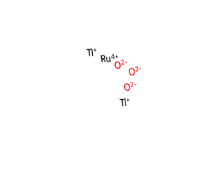 [O-2].[O-2].[O-2].[Ru+4].[Tl+].[Tl+]